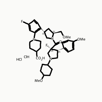 COC[C@@H]1C[C@@H](c2ccc(F)cc2N2CCC(C(=O)O)CC2)CN1C(=O)[C@]1(F)CN(C2CCC(OC)CC2)C[C@H]1c1ccc(OC)cc1.Cl.Cl